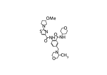 CO[C@H]1CCN(c2nc(C(=O)Nc3ccc(CN4CCOC[C@@H]4C)cc3C(=O)NC3CCOCC3)cs2)C1